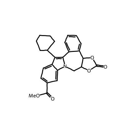 COC(=O)c1ccc2c(C3CCCCC3)c3n(c2c1)CC1OC(=O)OC1c1ccccc1-3